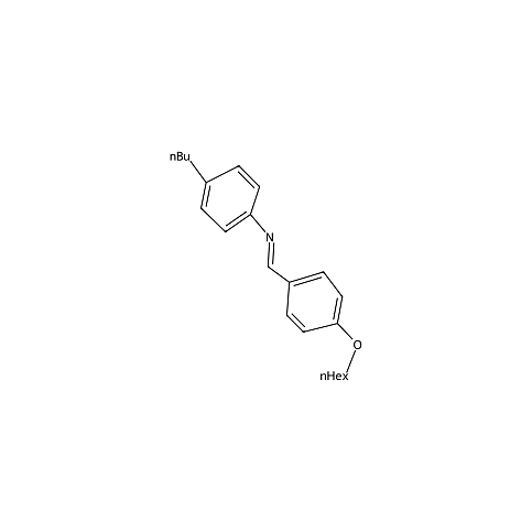 CCCCCCOc1ccc(C=Nc2ccc(CCCC)cc2)cc1